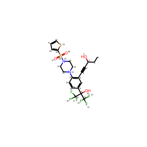 CCC(O)C#Cc1cc(C(O)(C(F)(F)F)C(F)(F)F)ccc1N1CCN(S(=O)(=O)c2cccs2)CC1